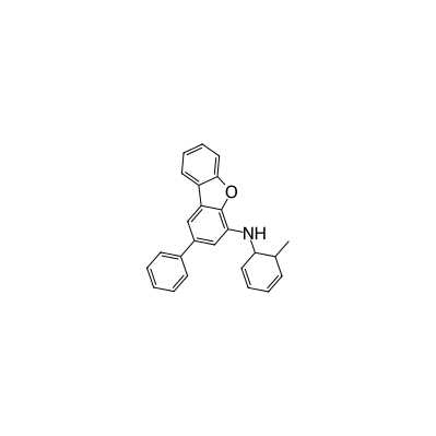 CC1C=CC=CC1Nc1cc(-c2ccccc2)cc2c1oc1ccccc12